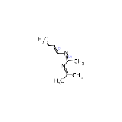 CC/C=C/N=C(/C)N=C(C)C